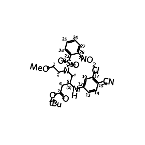 COCCN(C[C@H](CC(=O)OC(C)(C)C)Nc1ccc(C#N)c(Cl)c1)S(=O)(=O)c1ccccc1[N+](=O)[O-]